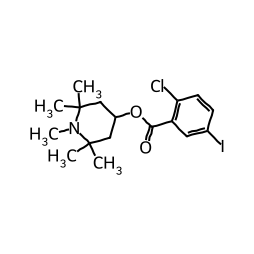 CN1C(C)(C)CC(OC(=O)c2cc(I)ccc2Cl)CC1(C)C